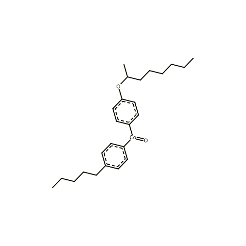 CCCCCCC(C)Oc1cc[c]([Co](=[O])[c]2ccc(CCCCC)cc2)cc1